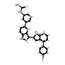 CCCC(=O)Nc1cncc(-c2ccc3[nH]nc(-c4cc5c(-c6ccc(F)cc6)ccnc5[nH]4)c3n2)c1